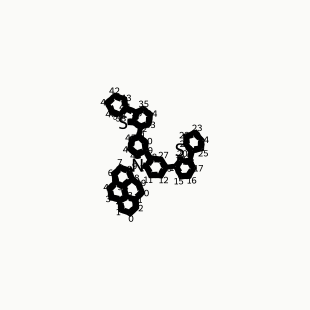 c1cc2ccc3ccc(-n4c5ccc(-c6cccc7c6sc6ccccc67)cc5c5cc(-c6cccc7c6sc6ccccc67)ccc54)c4ccc(c1)c2c34